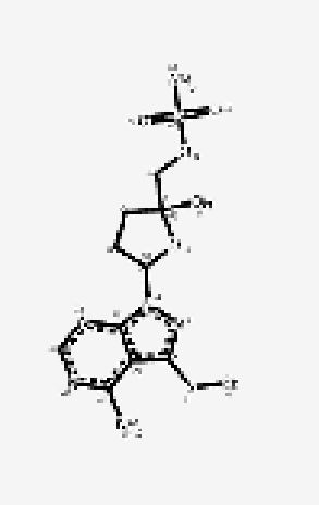 CCSc1nn([C@H]2CC[C@](O)(COS(N)(=O)=O)O2)c2ncnc(N)c12